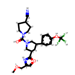 COCc1coc(C2CC(c3ccc(OC(F)(F)F)cc3)CN(C(=O)N3CCC(C#N)CC3)C2)n1